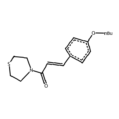 CCCCOc1ccc(/C=C/C(=O)N2CCSCC2)cc1